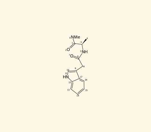 CNC(=O)[C@@H](C)NC(=O)Cc1c[nH]c2ccccc12